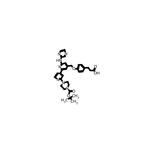 CC(C)(C)OC(=O)N1CCN(c2cc(-c3cc(COc4ccc(CCC(=O)O)cc4)cc(Nc4cnccn4)n3)ccn2)CC1